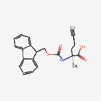 C#CCC[C@](C)(NC(=O)OCC1c2ccccc2-c2ccccc21)C(=O)O